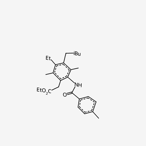 CCOC(=O)Cc1c(C)c(CC)c(CC(C)CC)c(C)c1NC(=O)c1ccc(C)cc1